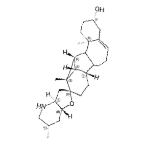 C[C@@H]1CN[C@H]2C[C@@]3(CC[C@H]4C5CC=C6C[C@@H](O)CC[C@]6(C)C5[C@@H]5[C@H]4[C@@]53C)O[C@@H]2C1